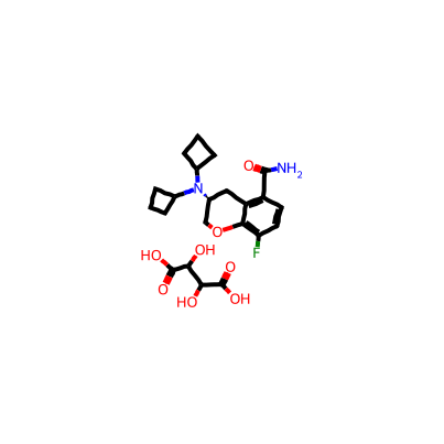 NC(=O)c1ccc(F)c2c1C[C@@H](N(C1CCC1)C1CCC1)CO2.O=C(O)C(O)C(O)C(=O)O